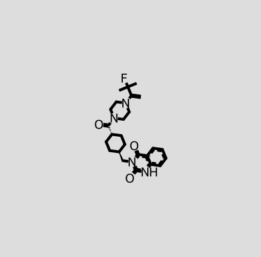 C=C(N1CCN(C(=O)[C@H]2CC[C@H](Cn3c(=O)[nH]c4ccccc4c3=O)CC2)CC1)C(C)(C)F